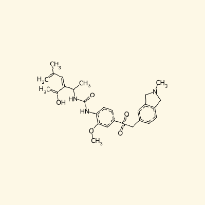 C=C(C)/C=C(\C(=C)O)C(C)NC(=O)Nc1ccc(S(=O)(=O)Cc2ccc3c(c2)CN(C)C3)cc1OC